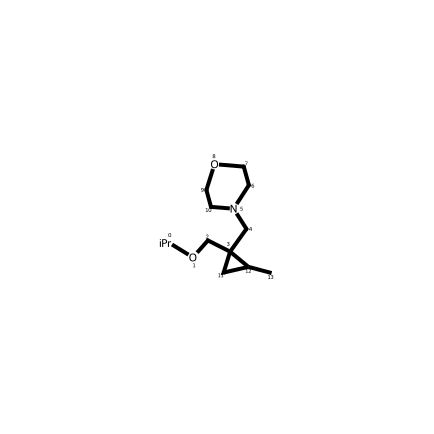 CC(C)OCC1(CN2CCOCC2)CC1C